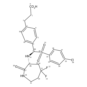 O=C(O)CCc1ccc([C@H](N[C@@H]2CC(F)(F)CCNC2=O)S(=O)(=O)c2ccc(Cl)cc2)cc1